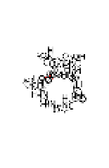 CCC[C@@H]1NC(=O)[C@H](CC(C)C)NC(=O)[C@@H](Cc2ccccc2)NC(=O)[C@H](CCC)NC(=O)[C@@H](NC(=O)C2(NC(=O)[C@@H](NC(=O)C(CCNC(=O)OC(C)(C)C)NC(=O)OCc3ccccc3)[C@@H](C)O)CC2)CCNC(=O)[C@H]([C@@H](C)O)NC(=O)[C@H](CCNC(=O)OC(C)(C)C)NC1=O